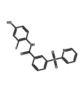 O=C(Nc1ccc(O)cc1F)c1cccc(S(=O)(=O)c2ccccn2)c1